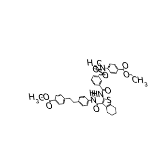 CCOC(=O)c1ccc(N(C)S(=O)(=O)c2cccc(C(=O)Nc3sc4c(c3C(=O)Nc3ccc(CCc5ccc(C(=O)OC)cc5)cc3)CCCC4)c2)cc1